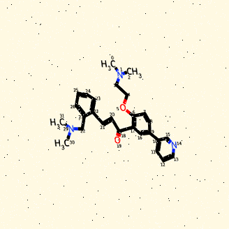 CN(C)CCOc1ccc(-c2cccnc2)cc1C(=O)/C=C/c1ccccc1CN(C)C